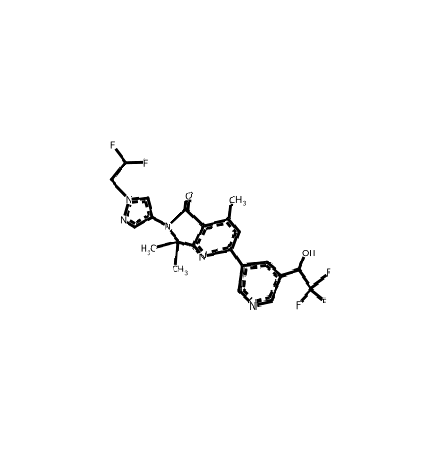 Cc1cc(-c2cncc(C(O)C(F)(F)F)c2)nc2c1C(=O)N(c1cnn(CC(F)F)c1)C2(C)C